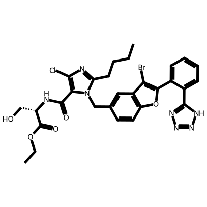 CCCCc1nc(Cl)c(C(=O)N[C@@H](CO)C(=O)OCC)n1Cc1ccc2oc(-c3ccccc3-c3nnn[nH]3)c(Br)c2c1